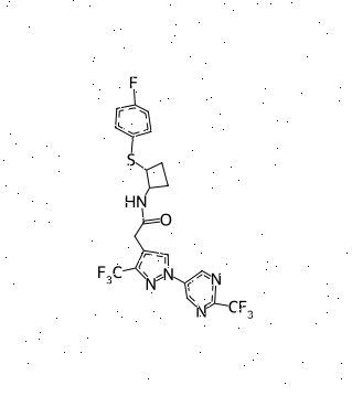 O=C(Cc1cn(-c2cnc(C(F)(F)F)nc2)nc1C(F)(F)F)NC1CCC1Sc1ccc(F)cc1